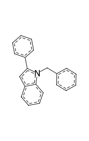 c1ccc(Cn2c(-c3ccccc3)cc3ccccc32)cc1